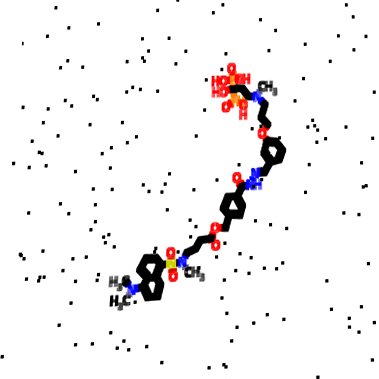 CN(CCCOc1cccc(/C=N/NC(=O)c2ccc(COC(=O)CCCN(C)S(=O)(=O)c3cccc4c(N(C)C)cccc34)cc2)c1)CCC(O)([PH](=O)O)P(=O)(O)O